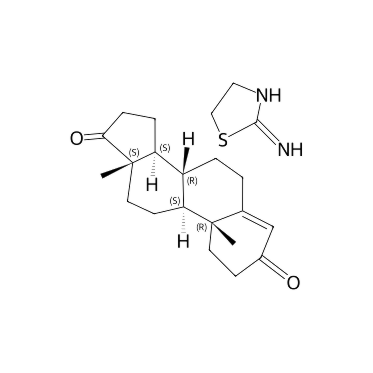 C[C@]12CCC(=O)C=C1CC[C@@H]1[C@@H]2CC[C@]2(C)C(=O)CC[C@@H]12.N=C1NCCS1